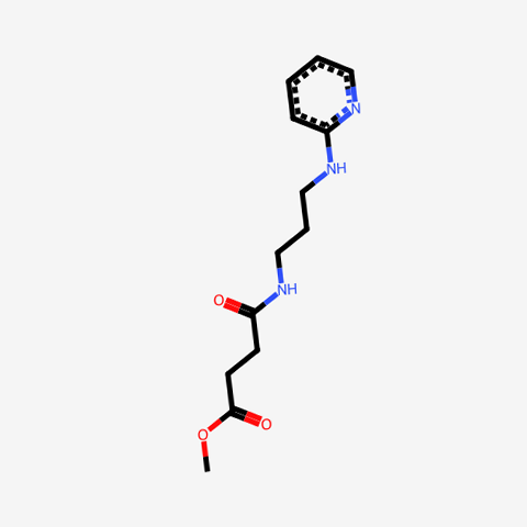 COC(=O)CCC(=O)NCCCNc1ccccn1